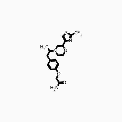 CC(Cc1ccc(OCC(N)=O)cc1)N1CCOC(c2csc(C(F)(F)F)n2)C1